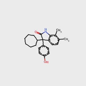 Cc1ccc2c(c1C)NC(=O)C2(c1ccc(O)cc1)C1CCCCCC1